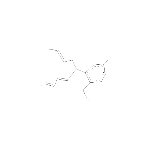 C=CC=CC(CC=CN)c1cc(Cl)ccc1CN